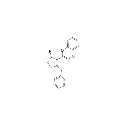 FC1CCN(Cc2ccccc2)C1C1=COc2ccccc2O1